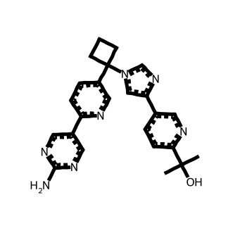 CC(C)(O)c1ccc(-c2cn(C3(c4ccc(-c5cnc(N)nc5)nc4)CCC3)cn2)cn1